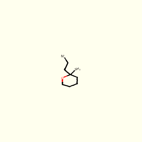 N#CCCC1([SiH3])CCCCO1